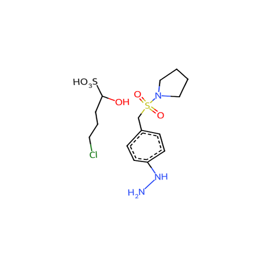 NNc1ccc(CS(=O)(=O)N2CCCC2)cc1.O=S(=O)(O)C(O)CCCCl